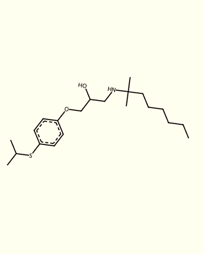 CCCCCCC(C)(C)NCC(O)COc1ccc(SC(C)C)cc1